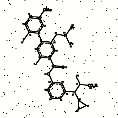 COc1cc(-c2cc(C)c(C(=O)Oc3cccc(C(C4CC4)C(C)C(=O)O)c3)cc2CN(C(C)C)C(C)C)c(F)cn1